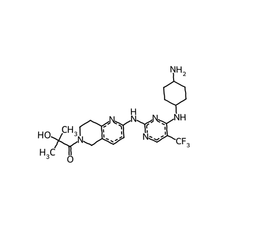 CC(C)(O)C(=O)N1CCc2nc(Nc3ncc(C(F)(F)F)c(NC4CCC(N)CC4)n3)ccc2C1